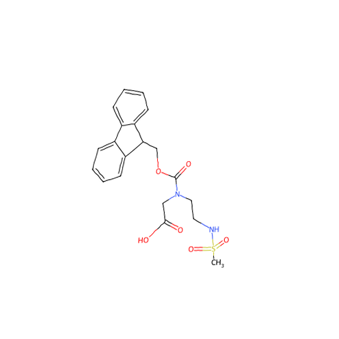 CS(=O)(=O)NCCN(CC(=O)O)C(=O)OCC1c2ccccc2-c2ccccc21